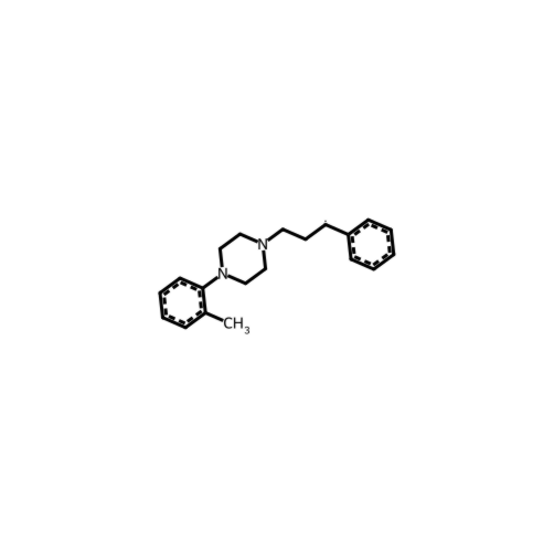 Cc1ccccc1N1CCN(CC[CH]c2ccccc2)CC1